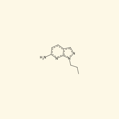 CCCn1ncc2ccc(N)nc21